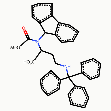 COC(=O)N(C(CCNC(c1ccccc1)(c1ccccc1)c1ccccc1)C(=O)O)C1c2ccccc2-c2ccccc21